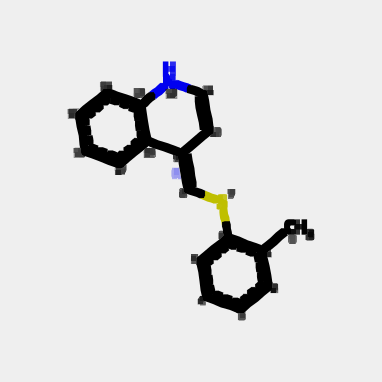 Cc1ccccc1S/C=C1\C=CNc2ccccc21